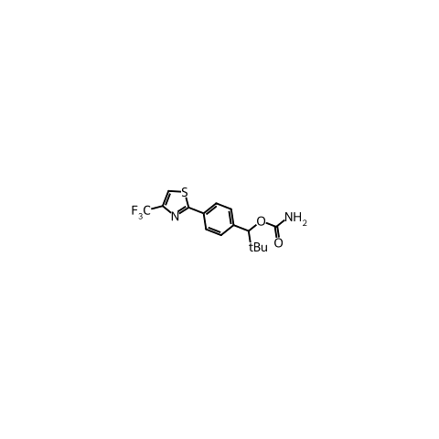 CC(C)(C)C(OC(N)=O)c1ccc(-c2nc(C(F)(F)F)cs2)cc1